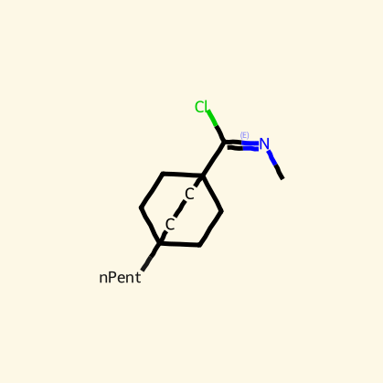 CCCCCC12CCC(/C(Cl)=N\C)(CC1)CC2